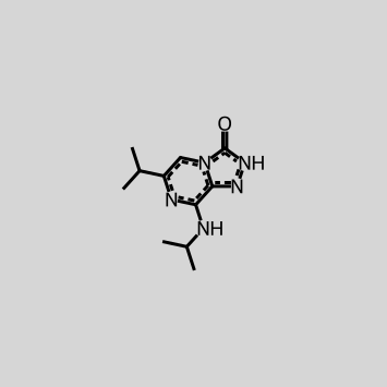 CC(C)Nc1nc(C(C)C)cn2c(=O)[nH]nc12